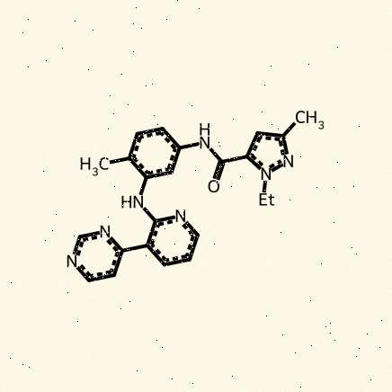 CCn1nc(C)cc1C(=O)Nc1ccc(C)c(Nc2ncccc2-c2ccncn2)c1